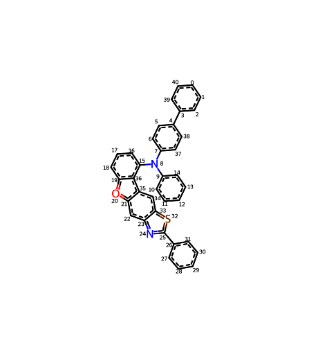 c1ccc(-c2ccc(N(c3ccccc3)c3cccc4oc5cc6nc(-c7ccccc7)sc6cc5c34)cc2)cc1